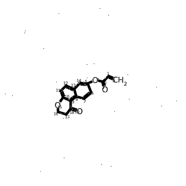 C=CC(=O)Oc1ccc2c3c(ccc2c1)OCCC3=O